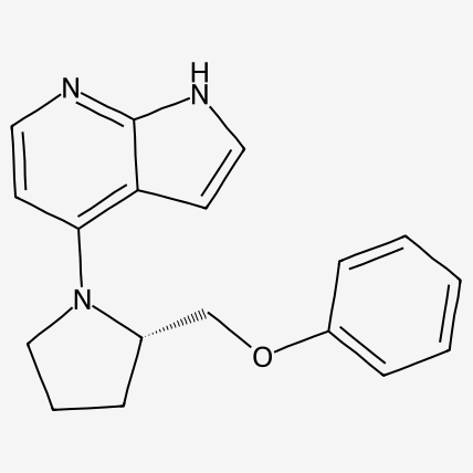 c1ccc(OC[C@@H]2CCCN2c2ccnc3[nH]ccc23)cc1